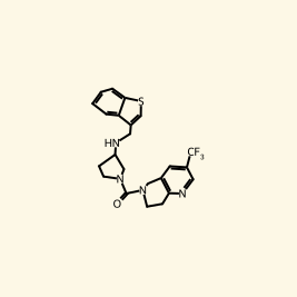 O=C(N1CCc2ncc(C(F)(F)F)cc2C1)N1CCC(NCc2csc3ccccc23)C1